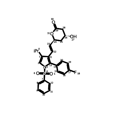 CC(C)c1cn(S(=O)(=O)c2ccccc2)c(-c2ccc(F)cc2)c1/C=C/[C@@H]1C[C@@H](O)CC(=O)O1